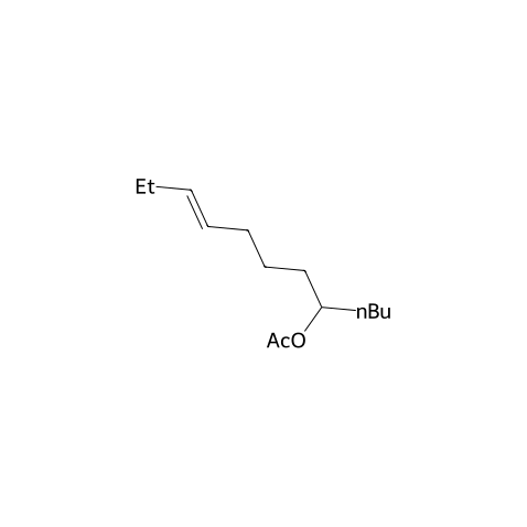 CCC=CCCCC(CCCC)OC(C)=O